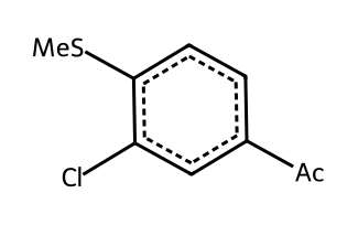 CSc1ccc(C(C)=O)cc1Cl